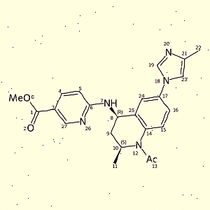 COC(=O)c1ccc(N[C@@H]2C[C@H](C)N(C(C)=O)c3ccc(-n4cnc(C)c4)cc32)nc1